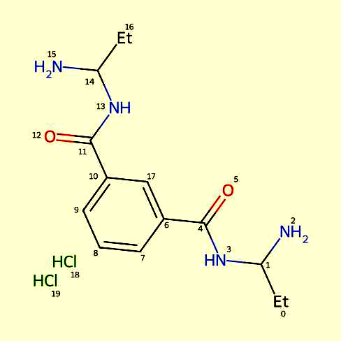 CCC(N)NC(=O)c1cccc(C(=O)NC(N)CC)c1.Cl.Cl